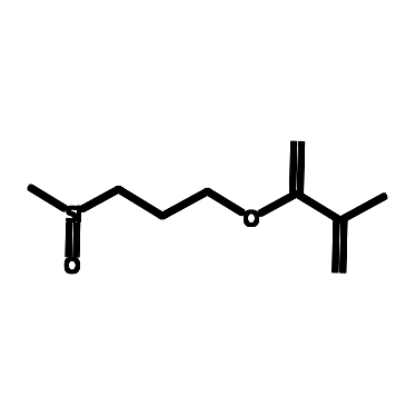 C=C(C)C(=C)OCCC[Si](C)=O